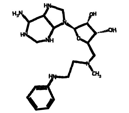 CN(CCNc1ccccc1)CC1O[C@@H](N2CNC3C(N)NCNC32)[C@H](O)[C@@H]1O